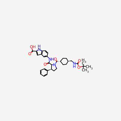 CC(C)(C)OC(=O)NC[C@H]1CC[C@H](C(=O)N2CC[C@@H](c3ccccc3)C2C(=O)Nc2ccc3[nH]c(C(=O)O)cc3c2)CC1